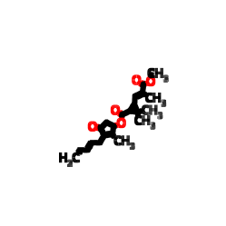 C=C/C=C/CC1=C(C)C(OC(=O)C2C(/C=C(\C)C(=O)OC)C2(C)C)CC1=O